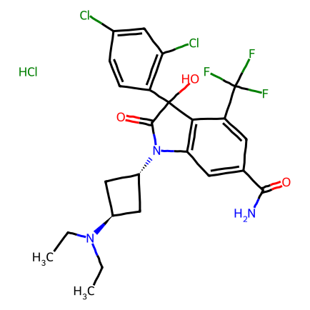 CCN(CC)[C@H]1C[C@H](N2C(=O)C(O)(c3ccc(Cl)cc3Cl)c3c2cc(C(N)=O)cc3C(F)(F)F)C1.Cl